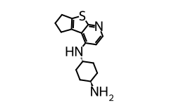 N[C@H]1CC[C@H](Nc2ccnc3sc4c(c23)CCC4)CC1